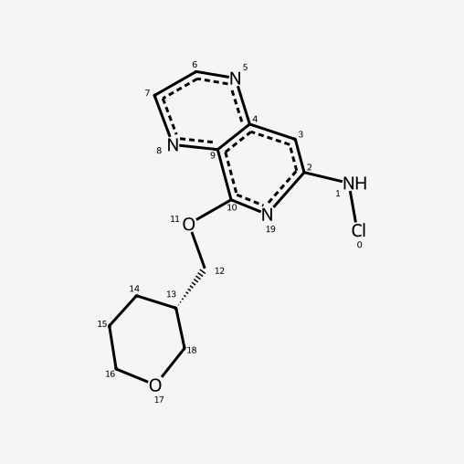 ClNc1cc2nccnc2c(OC[C@H]2CCCOC2)n1